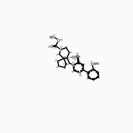 COc1ccccc1-c1cc(=O)n(C[C@]2(OC)CCN(C(=O)OC(C)(C)C)CC23CCCC3)cn1